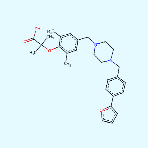 Cc1cc(CN2CCN(Cc3ccc(-c4ccco4)cc3)CC2)cc(C)c1OC(C)(C)C(=O)O